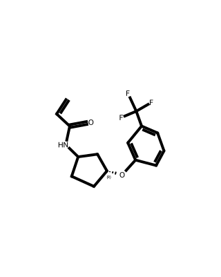 C=CC(=O)NC1CC[C@@H](Oc2cccc(C(F)(F)F)c2)C1